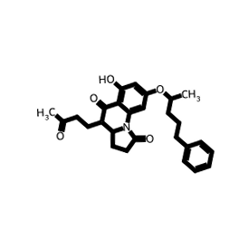 CC(=O)CCC1C(=O)c2c(O)cc(OC(C)CCCc3ccccc3)cc2N2C(=O)CCC12